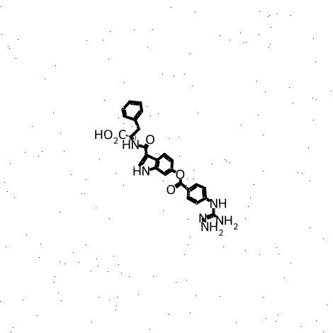 NN=C(N)Nc1ccc(C(=O)Oc2ccc3c(C(=O)N[C@@H](Cc4ccccc4)C(=O)O)c[nH]c3c2)cc1